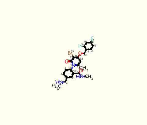 CNCc1ccc(-n2c(C)cc(OCc3ccc(F)cc3F)c(Br)c2=O)c(C(=O)NC)c1